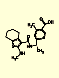 CNc1sc2c(c1C(=O)N[C@@H](C)c1ccc(C(=O)O)c(C)c1)CCCC2